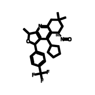 CC1OC(c2ccc(C(F)(F)F)cc2)c2c1nc1c(c2C2CCCC2)[C@@H](N=O)CC(C)(C)C1